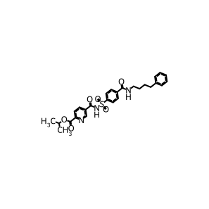 CC(C)OC(=O)c1ccc(C(=O)NS(=O)(=O)c2ccc(C(=O)NCCCCc3ccccc3)cc2)cn1